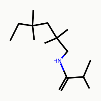 C=C(NCC(C)(C)CC(C)(C)CC)C(C)C